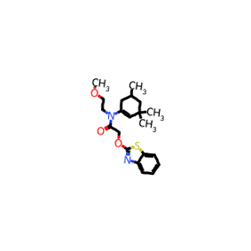 COCCN(C(=O)COc1nc2ccccc2s1)C1=CC(C)(C)CC(C)C1